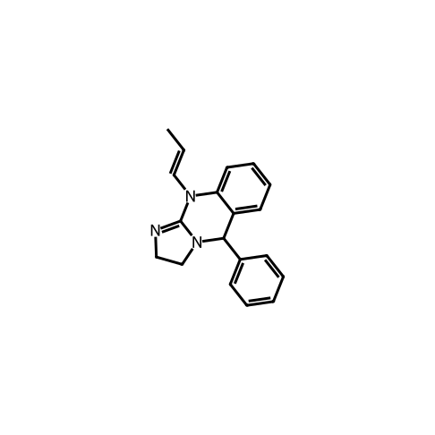 CC=CN1C2=NCCN2C(c2ccccc2)c2ccccc21